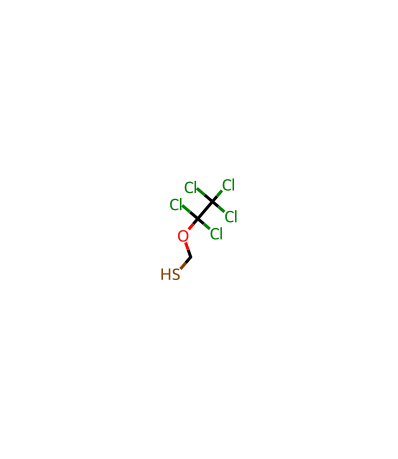 SCOC(Cl)(Cl)C(Cl)(Cl)Cl